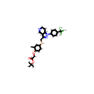 Cc1cc(SCc2nn(-c3ccc(C(F)(F)F)cc3)c3ccncc23)ccc1OCC(=O)OC(C)(C)C